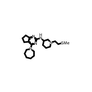 CSCCN1CCCC(Nc2nc3c(c(N4CCCCCC4)n2)CCC3)C1